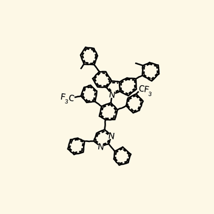 Cc1ccccc1-c1ccc2c(c1)c1cc(-c3ccccc3C)ccc1n2-c1c(-c2cccc(C(F)(F)F)c2)cc(-c2cc(-c3ccccc3)nc(-c3ccccc3)n2)cc1-c1cccc(C(F)(F)F)c1